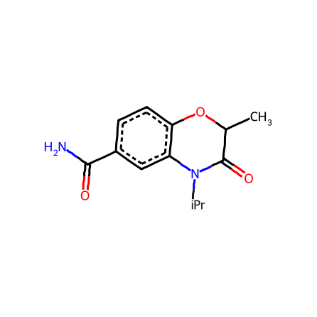 CC1Oc2ccc(C(N)=O)cc2N(C(C)C)C1=O